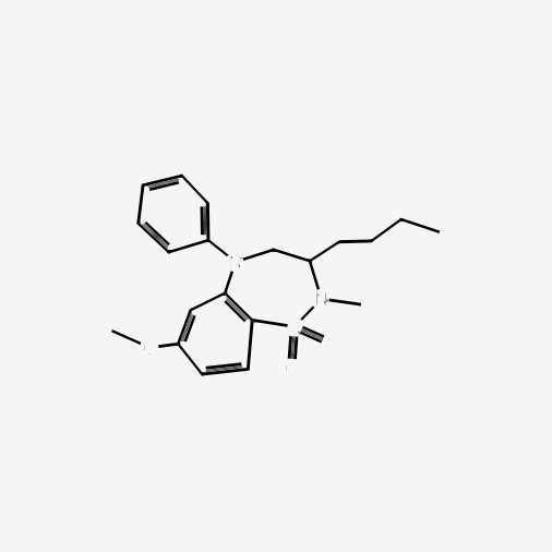 CCCCC1CN(c2ccccc2)c2cc(OC)ccc2S(=O)(=O)N1C